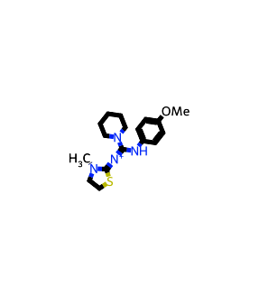 COc1ccc(NC(=[N+]=C2SCCN2C)N2CCCCC2)cc1